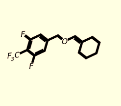 Fc1cc(COC=C2CCCCC2)cc(F)c1C(F)(F)F